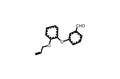 C=CCOc1ccccc1Oc1cccc(C=O)c1